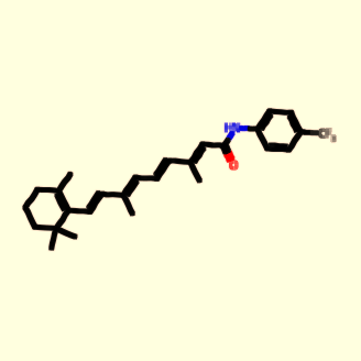 CC1=C(/C=C/C(C)=C/C=C/C(C)=C/C(=O)Nc2ccc(C(F)(F)F)cc2)C(C)(C)CCC1